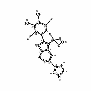 Cc1cc(-c2nc3ccc(-c4ncno4)cc3n2C2(C)COC2)c(F)c(O)c1O